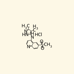 Cc1n[nH]c(Nc2ccnc3ccc(S(C)(=O)=O)cc23)c1C.Cl